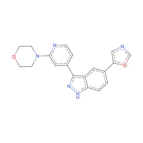 c1cc(-c2n[nH]c3ccc(-c4cnco4)cc23)cc(N2CCOCC2)n1